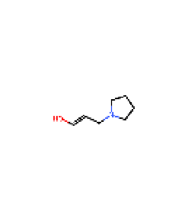 O/C=C/CN1CCCC1